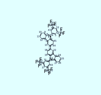 FC(F)(F)c1cc(-n2c3ccccc3c3cc(-c4ccc5c(c4)c4ccccc4n5-c4cc(C(F)(F)F)cc(C(F)(F)F)c4)ccc32)cc(C(F)(F)F)c1